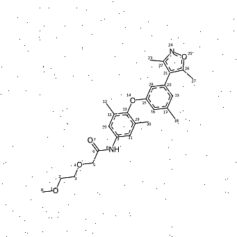 COCCOCC(=O)Nc1cc(C)c(Oc2cc(C)cc(-c3c(C)noc3C)c2)c(C)c1